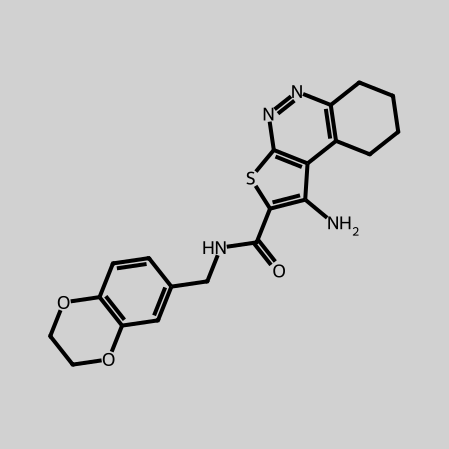 Nc1c(C(=O)NCc2ccc3c(c2)OCCO3)sc2nnc3c(c12)CCCC3